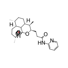 C[C@H]1[C@@H](CCC(=O)Nc2ccccn2)O[C@@H]2O[C@]3(C)CC[C@H]4[C@H](C)CC[C@@H]1[C@@]24OO3